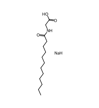 CCCCCCCCCCCC(=O)NCC(=O)O.[NaH]